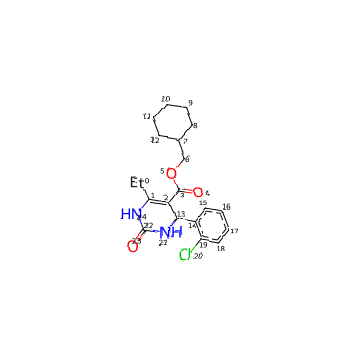 CCC1=C(C(=O)OCC2CCCCC2)C(c2ccccc2Cl)NC(=O)N1